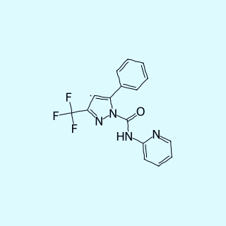 O=C(Nc1ccccn1)n1nc(C(F)(F)F)[c]c1-c1ccccc1